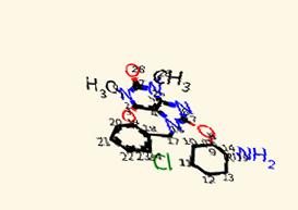 Cn1c(=O)c2c(nc(O[C@@H]3CCCC[C@H]3N)n2Cc2ccccc2Cl)n(C)c1=O